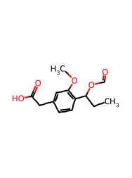 CCC(OC=O)c1ccc(CC(=O)O)cc1OC